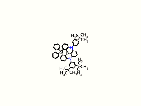 CC(C)(C)c1cc(N2c3cccc4c3B3c5c(cccc5[Si](c5ccccc5)(c5ccccc5)c5cccc2c53)N4c2ccc([Si](C)(C)C)cc2)cc(C(C)(C)C)c1